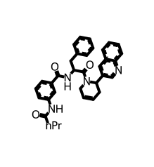 CCCC(=O)Nc1cccc(C(=O)NC(Cc2ccccc2)C(=O)N2CC=CCC2c2cnc3ccccc3c2)c1